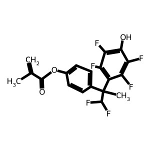 C=C(C)C(=O)Oc1ccc(C(C)(c2c(F)c(F)c(O)c(F)c2F)C(F)F)cc1